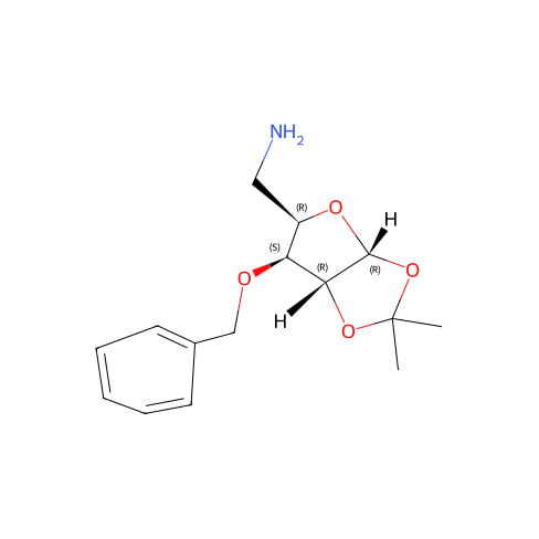 CC1(C)O[C@H]2O[C@H](CN)[C@H](OCc3ccccc3)[C@H]2O1